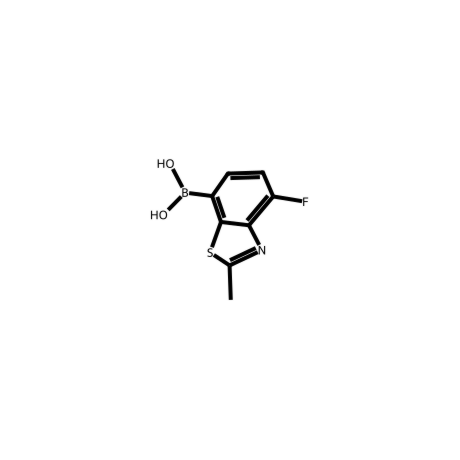 Cc1nc2c(F)ccc(B(O)O)c2s1